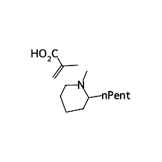 C=C(C)C(=O)O.CCCCCC1CCCCN1C